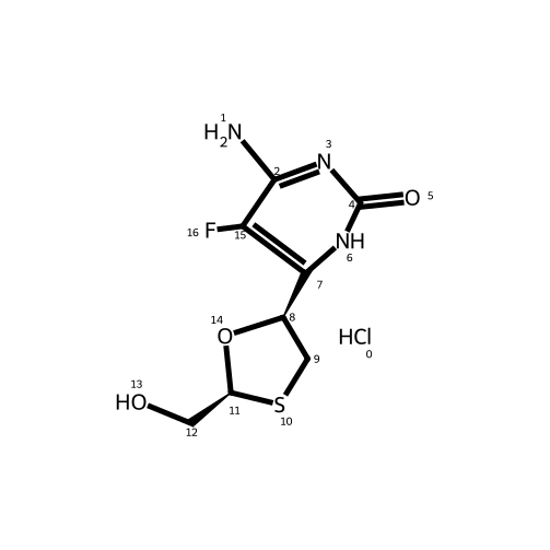 Cl.Nc1nc(=O)[nH]c([C@H]2CS[C@@H](CO)O2)c1F